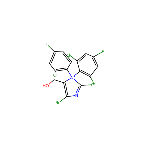 OCC1=C(Br)N=C(Cl)[N+]1(c1ccc(F)cc1Cl)c1c(F)cc(F)cc1Cl